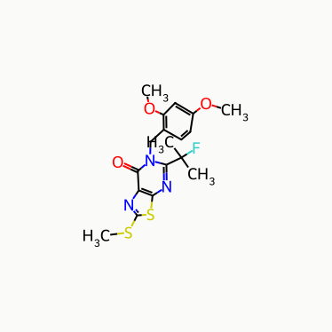 COc1ccc(Cn2c(C(C)(C)F)nc3sc(SC)nc3c2=O)c(OC)c1